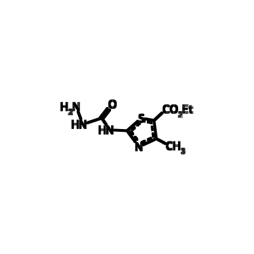 CCOC(=O)c1sc(NC(=O)NN)nc1C